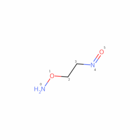 NOCCN=O